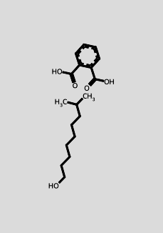 CC(C)CCCCCCCO.O=C(O)c1ccccc1C(=O)O